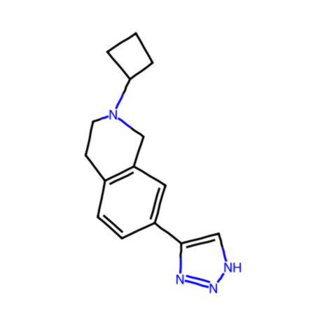 c1cc2c(cc1-c1c[nH]nn1)CN(C1CCC1)CC2